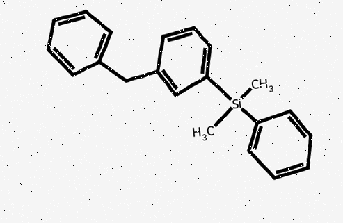 C[Si](C)(c1ccccc1)c1cccc(Cc2ccccc2)c1